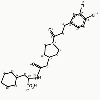 O=C(CC1CCN(C(=O)CCc2ccc(Cl)c(Cl)c2)CC1)NC(CC1CCCCC1)C(=O)O